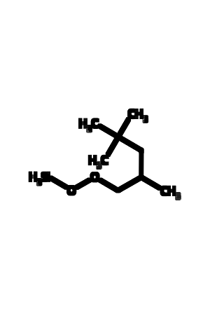 CC(COO[SiH3])CC(C)(C)C